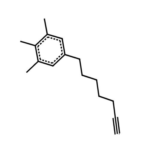 [C]#CCCCCCc1cc(C)c(C)c(C)c1